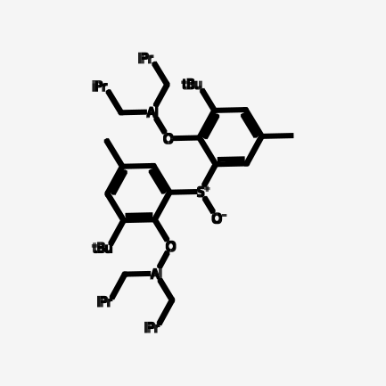 Cc1cc([S+]([O-])c2cc(C)cc(C(C)(C)C)c2[O][Al]([CH2]C(C)C)[CH2]C(C)C)c([O][Al]([CH2]C(C)C)[CH2]C(C)C)c(C(C)(C)C)c1